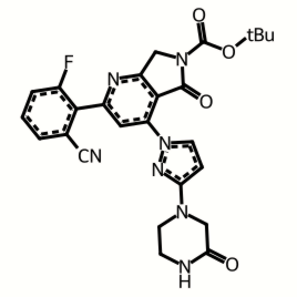 CC(C)(C)OC(=O)N1Cc2nc(-c3c(F)cccc3C#N)cc(-n3ccc(N4CCNC(=O)C4)n3)c2C1=O